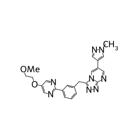 COCCOc1cnc(-c2cccc(Cc3nnc4ncc(-c5cnn(C)c5)cn34)c2)nc1